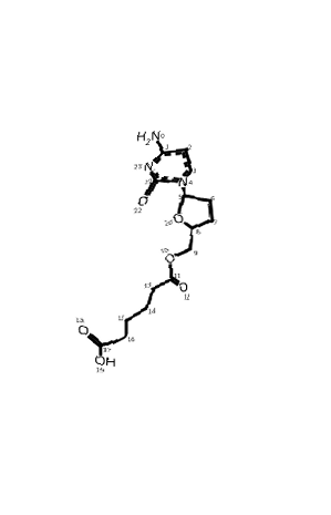 Nc1ccn([C@H]2CC[C@@H](COC(=O)CCCCC(=O)O)O2)c(=O)n1